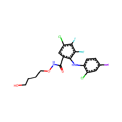 O=C(NOCCCCO)c1cc(Cl)c(F)c(F)c1Nc1ccc(I)cc1Cl